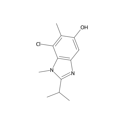 Cc1c(O)cc2nc(C(C)C)n(C)c2c1Cl